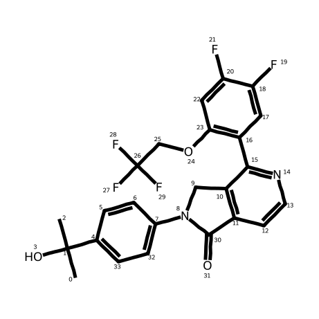 CC(C)(O)c1ccc(N2Cc3c(ccnc3-c3cc(F)c(F)cc3OCC(F)(F)F)C2=O)cc1